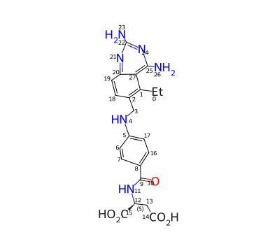 CCc1c(CNc2ccc(C(=O)N[C@@H](CC(=O)O)C(=O)O)cc2)ccc2nc(N)nc(N)c12